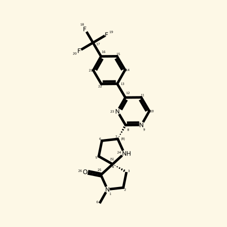 CN1CC[C@@]2(CC[C@H](c3nccc(-c4ccc(C(F)(F)F)cc4)n3)N2)C1=O